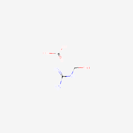 N=C(N)NCO.O=C(O)O